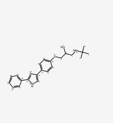 CC(C)(C)NCC(O)COc1ccc(-c2c[nH]c(-c3cccnc3)n2)cc1